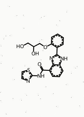 O=C(Nc1nccs1)c1cccc2[nH]c(-c3ccccc3OCC(O)CO)nc12